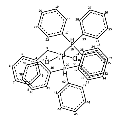 [Cl][Pd]([Cl])([CH2]c1ccccc1)([PH](c1ccccc1)(c1ccccc1)c1ccccc1)[PH](c1ccccc1)(c1ccccc1)c1ccccc1